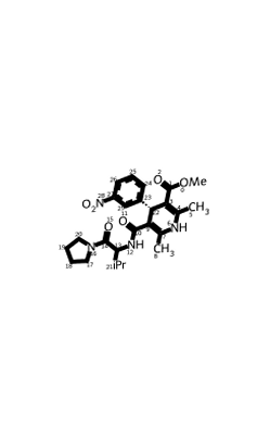 COC(=O)C1=C(C)NC(C)=C(C(=O)NC(C(=O)N2CCCC2)C(C)C)[C@@H]1c1cccc([N+](=O)[O-])c1